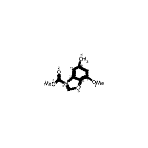 COC(=O)N1COc2c(OC)cc(C)cc21